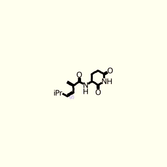 C=C(/C=C\C(C)C)C(=O)NC1CCC(=O)NC1=O